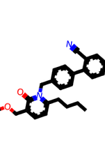 CCCCc1ccc(COC)c(=O)n1Cc1ccc(-c2ccccc2C#N)cc1